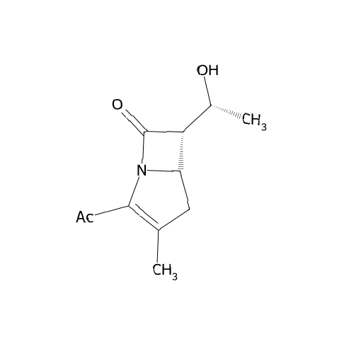 CC(=O)C1=C(C)CC2[C@@H]([C@@H](C)O)C(=O)N12